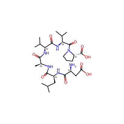 CC(C)C[C@H](NC(=O)[C@@H](N)CC(=O)O)C(=O)N[C@@H](C)C(=O)N[C@H](C(=O)N[C@H](C(=O)N1CCC[C@H]1C(=O)O)C(C)C)C(C)C